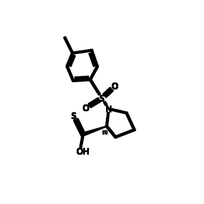 Cc1ccc(S(=O)(=O)N2CCC[C@H]2C(O)=S)cc1